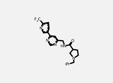 C[C](C)CN1CCC(C(=O)NCc2cc(-c3ccc(C(F)(F)F)nc3)ncn2)C1